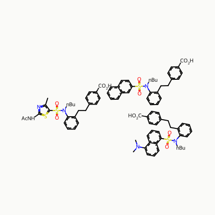 CCCCN(c1ccccc1CCc1ccc(C(=O)O)cc1)S(=O)(=O)c1ccc2ccccc2c1.CCCCN(c1ccccc1CCc1ccc(C(=O)O)cc1)S(=O)(=O)c1cccc2c(N(C)C)cccc12.CCCCN(c1ccccc1CCc1ccc(C(=O)O)cc1)S(=O)(=O)c1sc(NC(C)=O)nc1C